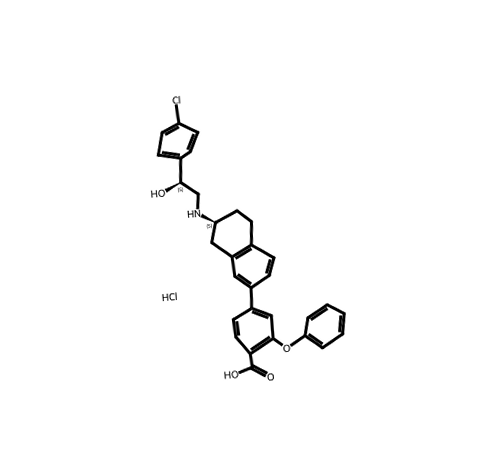 Cl.O=C(O)c1ccc(-c2ccc3c(c2)C[C@@H](NC[C@@H](O)c2ccc(Cl)cc2)CC3)cc1Oc1ccccc1